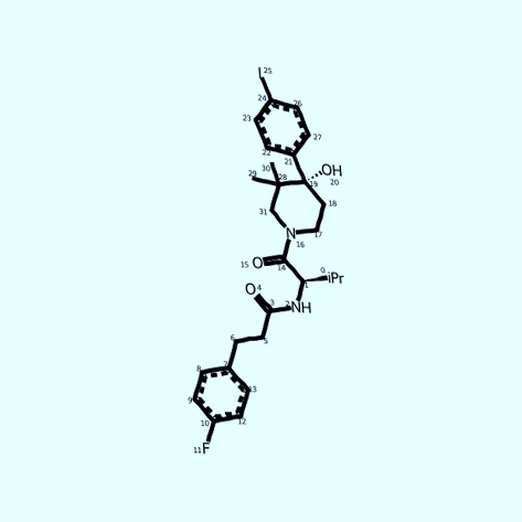 CC(C)[C@@H](NC(=O)CCc1ccc(F)cc1)C(=O)N1CC[C@](O)(c2ccc(I)cc2)C(C)(C)C1